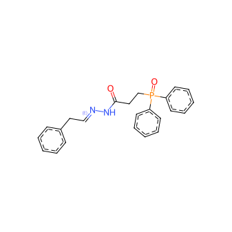 O=C(CCP(=O)(c1ccccc1)c1ccccc1)N/N=C/Cc1ccccc1